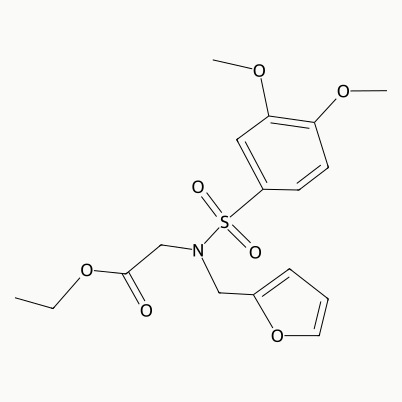 CCOC(=O)CN(Cc1ccco1)S(=O)(=O)c1ccc(OC)c(OC)c1